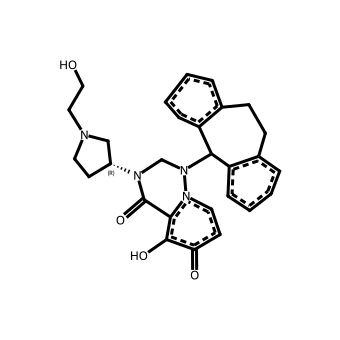 O=C1c2c(O)c(=O)ccn2N(C2c3ccccc3CCc3ccccc32)CN1[C@@H]1CCN(CCO)C1